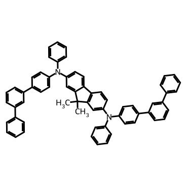 CC1(C)c2cc(N(c3ccccc3)c3ccc(-c4cccc(-c5ccccc5)c4)cc3)ccc2-c2ccc(N(c3ccccc3)c3ccc(-c4cccc(-c5ccccc5)c4)cc3)cc21